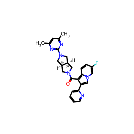 Cc1cc(C)nc(N2C[C@H]3CN(C(=O)c4c(-c5ccccn5)cn5cc(F)ccc45)C[C@H]3C2)n1